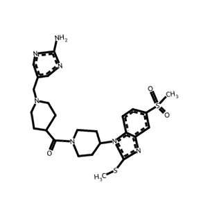 CSc1nc2cc(S(C)(=O)=O)ccc2n1C1CCN(C(=O)C2CCN(Cc3cnc(N)nc3)CC2)CC1